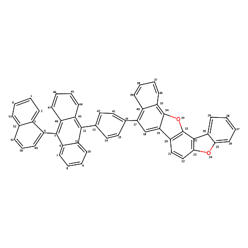 c1ccc2c(-c3c4ccccc4c(-c4ccc(-c5cc6c7ccc8oc9ccccc9c8c7oc6c6ccccc56)cc4)c4ccccc34)cccc2c1